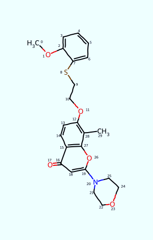 COc1ccccc1SCCOc1ccc2c(=O)cc(N3CCOCC3)oc2c1C